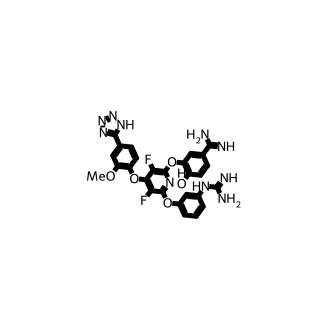 COc1cc(-c2nnn[nH]2)ccc1Oc1c(F)c(Oc2cccc(NC(=N)N)c2)nc(Oc2cc(C(=N)N)ccc2O)c1F